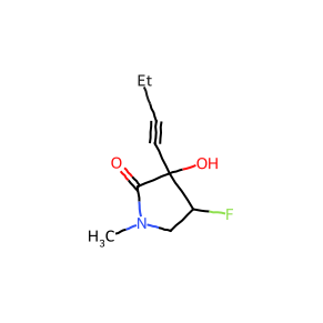 CCC#CC1(O)C(=O)N(C)CC1F